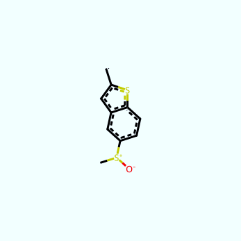 [CH2]c1cc2cc([S+](C)[O-])ccc2s1